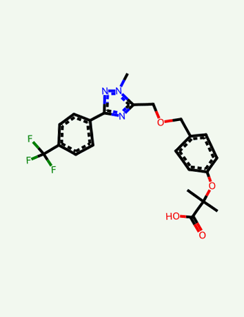 Cn1nc(-c2ccc(C(F)(F)F)cc2)nc1COCc1ccc(OC(C)(C)C(=O)O)cc1